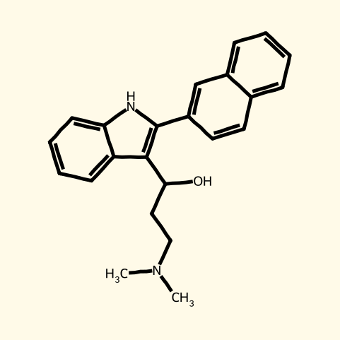 CN(C)CCC(O)c1c(-c2ccc3ccccc3c2)[nH]c2ccccc12